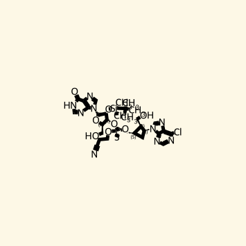 CC(C)(C)[Si](C)(C)OC1[C@H](n2cnc3c(=O)[nH]cnc32)O[C@H](CO)[C@H]1OP(=S)(OCCC#N)OC[C@H]1C[C@@H](n2cnc3c(Cl)ncnc32)[C@@H]1CO